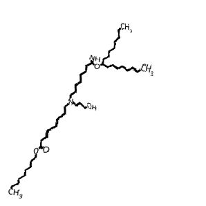 CCCCCCCCCOC(=O)CCCCCCCN(CCCO)CCCCCCCC(=N)OC(CCCCCCCC)CCCCCCCC